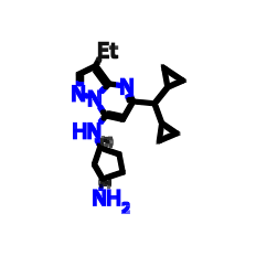 CCc1cnn2c(N[C@H]3CC[C@H](N)C3)cc(C(C3CC3)C3CC3)nc12